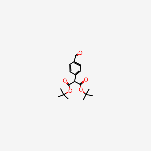 CC(C)(C)OC(=O)C(C(=O)OC(C)(C)C)c1ccc(C=O)cc1